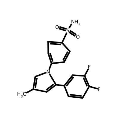 Cc1cc(-c2ccc(F)c(F)c2)n(-c2ccc(S(N)(=O)=O)cc2)c1